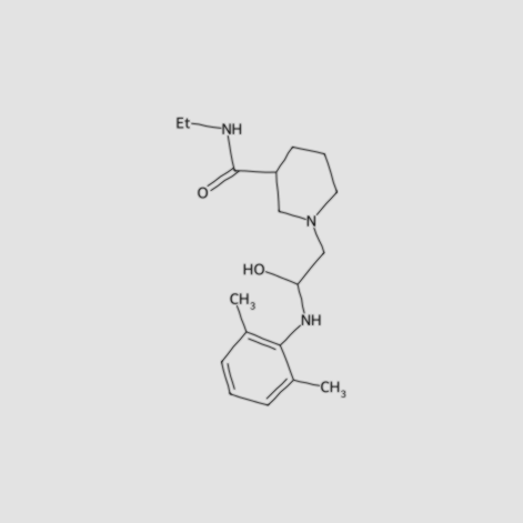 CCNC(=O)C1CCCN(CC(O)Nc2c(C)cccc2C)C1